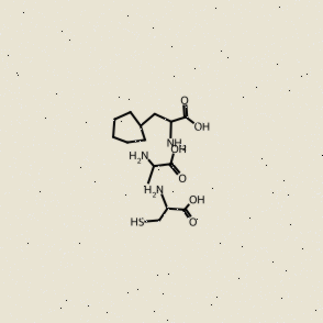 CC(N)C(=O)O.NC(CC1CCCCC1)C(=O)O.NC(CS)C(=O)O